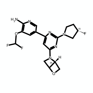 Nc1ncc(-c2cc(N3CC4OC[C@H]43)nc(N3CC[C@H](F)C3)n2)cc1OC(F)F